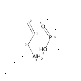 C=C[CH2][AlH2].O=PO